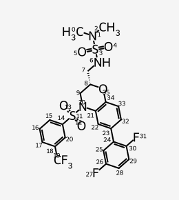 CN(C)S(=O)(=O)NC[C@H]1CN(S(=O)(=O)c2cccc(C(F)(F)F)c2)c2cc(-c3cc(F)ccc3F)ccc2O1